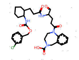 O=CC(CCC(=O)N1CCN(C(=O)O)Cc2ccccc21)NC(=O)CCC1CCCCC1NC(=O)OCc1cccc(Cl)c1